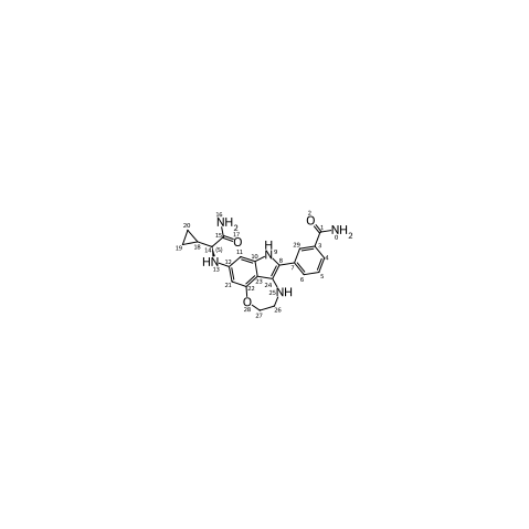 NC(=O)c1cccc(-c2[nH]c3cc(N[C@H](C(N)=O)C4CC4)cc4c3c2NCCO4)c1